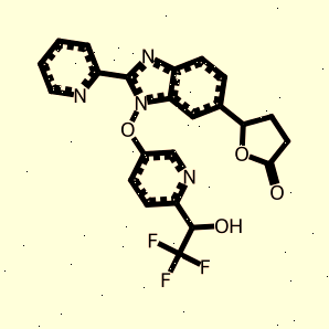 O=C1CCC(c2ccc3nc(-c4ccccn4)n(Oc4ccc(C(O)C(F)(F)F)nc4)c3c2)O1